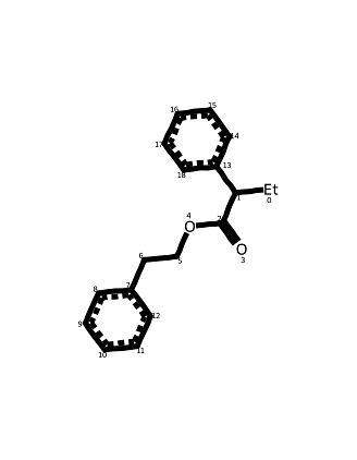 CCC(C(=O)OCCc1ccccc1)c1ccccc1